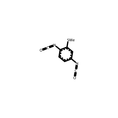 CSc1cc(N=C=O)ccc1N=C=O